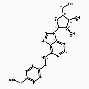 CCCCOc1ccc(CNc2ncnc3c2ncn3C2O[C@H](CO)[C@@H](O)[C@H]2O)cc1